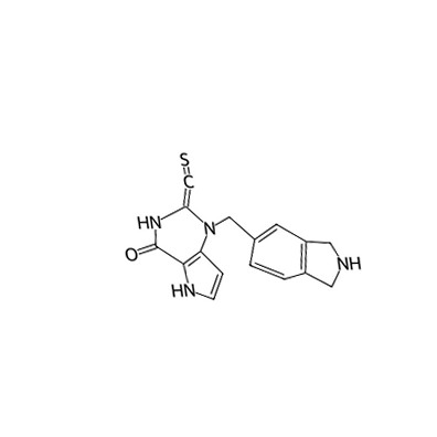 O=C1NC(=C=S)N(Cc2ccc3c(c2)CNC3)c2cc[nH]c21